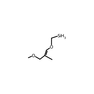 COCC(C)=COC[SiH3]